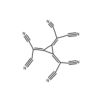 N#CC(C#N)=C1C(=C(C#N)C#N)C1=C(C#N)C#N